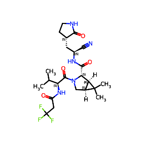 CC(C)[C@H](NC(=O)CC(F)(F)F)C(=O)N1C[C@H]2[C@@H]([C@H]1C(=O)N[C@H](C#N)C[C@@H]1CCNC1=O)C2(C)C